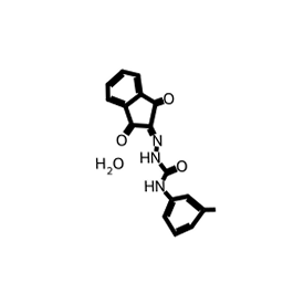 Cc1cccc(NC(=O)NN=c2c(=O)c3ccccc3c2=O)c1.O